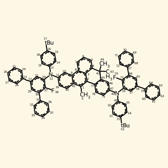 Cc1c2c3c(cccc3c3cc(N(c4ccc(C(C)(C)C)cc4)c4cc(-c5ccccc5)cc(-c5ccccc5)c4F)ccc13)C(C)(C)c1cc(N(c3ccc(C(C)(C)C)cc3)c3cc(-c4ccccc4)cc(-c4ccccc4)c3F)ccc1-2